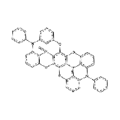 S=P12c3c4cccc3N(c3ccccc3)c3cccc(c31)Oc1c3c5c(c(c12)O4)Oc1cccc2c1P5(=S)c1c(cccc1N2c1ccccc1)O3